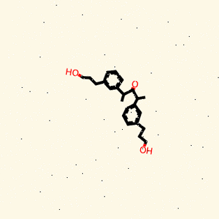 CC(C(=O)C(C)c1cccc(CCCO)c1)c1cccc(CCCO)c1